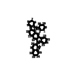 c1ccc(-n2c3ccccc3c3ccc4cc5c(cc4c32)c2ccccc2n5-c2ccc3ccccc3n2)cc1